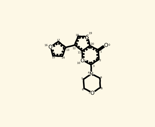 O=c1cc(N2CCOCC2)oc2c(-c3ccoc3)csc12